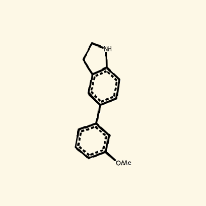 COc1cccc(-c2ccc3c(c2)CCN3)c1